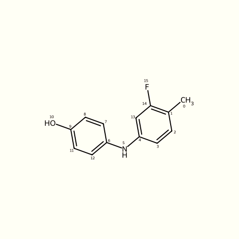 Cc1ccc(Nc2ccc(O)cc2)cc1F